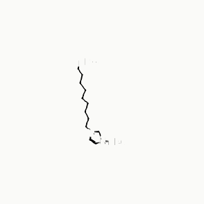 CCCCCCCCCCCCCCCCCCCN1C=CN(CCCC)C1